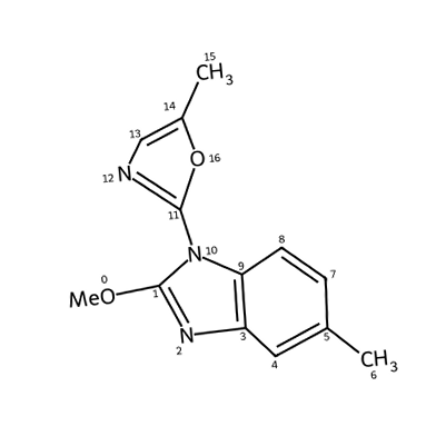 COc1nc2cc(C)ccc2n1-c1ncc(C)o1